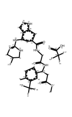 COC(=O)C[C@H](NC(=O)CNC(=O)c1cc(NC2=NCC(F)CN2)c2cn[nH]c2c1)c1ccc(C)c(C(F)(F)F)c1.O=C(O)C(F)(F)F